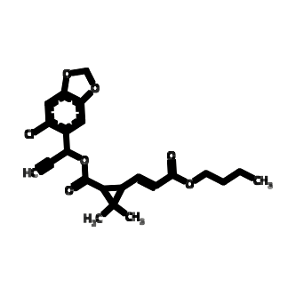 C#CC(OC(=O)C1C(C=CC(=O)OCCCC)C1(C)C)c1cc2c(cc1Cl)OCO2